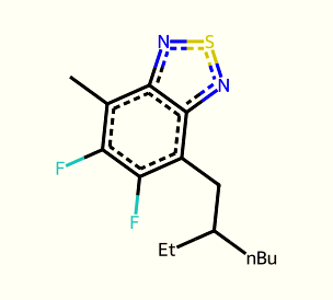 CCCCC(CC)Cc1c(F)c(F)c(C)c2nsnc12